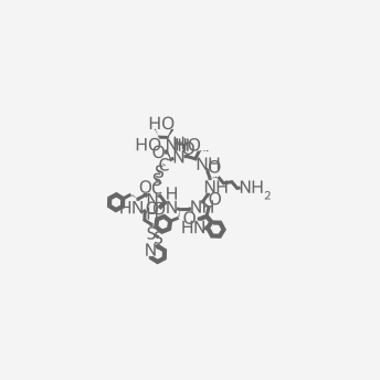 C[C@@H](O)[C@@H]1NC(=O)[C@H](CCCCN)NC(=O)[C@@H](Cc2c[nH]c3ccccc23)NC(=O)[C@H](Cc2ccccc2)NC(=O)[C@@H](NC(=O)[C@@H](Cc2ccccc2)NC(=O)CCSSc2ccccn2)CSSC[C@@H](C(=O)N[C@H](CO)[C@@H](C)O)NC1=O